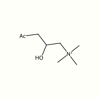 CC(=O)CC(O)C[N+](C)(C)C